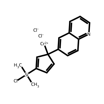 C[Si](C)(Cl)C1=C[C]([Cr+2])(c2ccc3ncccc3c2)C=C1.[Cl-].[Cl-]